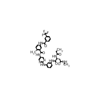 C=CC(=O)N[C@@H](CC(=O)NC)C(=O)Nc1cccc(Nc2ncc(NC(=O)c3cc(NC(=O)c4cccc(C(F)(F)F)c4)ccc3C)cn2)c1